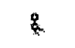 Nc1cnc(-c2ccncc2)nc1N